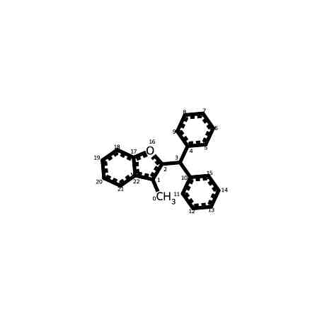 Cc1c(C(c2ccccc2)c2ccccc2)oc2ccccc12